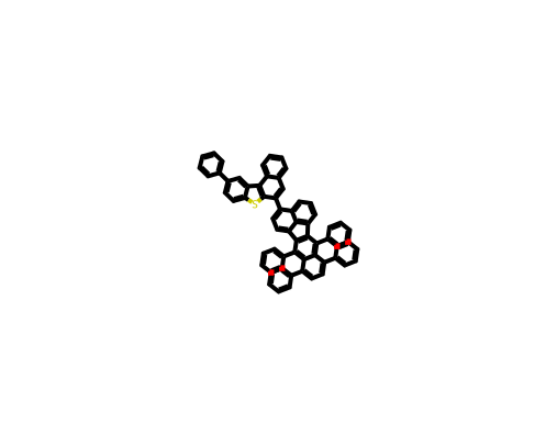 c1ccc(-c2ccc3sc4c(-c5ccc6c7c(cccc57)-c5c-6c(-c6ccccc6)c6c(-c7ccccc7)ccc(-c7ccccc7)c6c5-c5ccccc5)cc5ccccc5c4c3c2)cc1